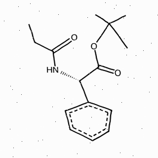 CCC(=O)N[C@H](C(=O)OC(C)(C)C)c1ccccc1